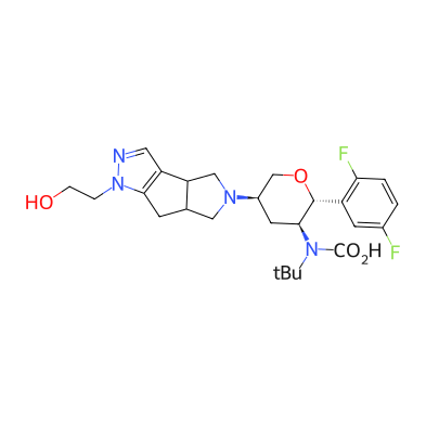 CC(C)(C)N(C(=O)O)[C@H]1C[C@@H](N2CC3Cc4c(cnn4CCO)C3C2)CO[C@@H]1c1cc(F)ccc1F